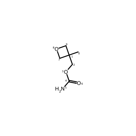 CC1(COC(N)=O)COC1